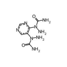 NC(=O)N(N)c1cncnc1N(N)C(N)=O